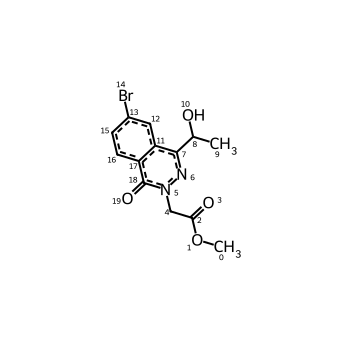 COC(=O)Cn1nc(C(C)O)c2cc(Br)ccc2c1=O